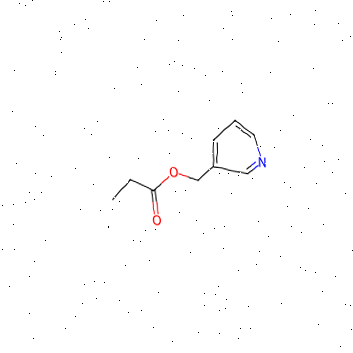 CCC(=O)OCc1cccnc1